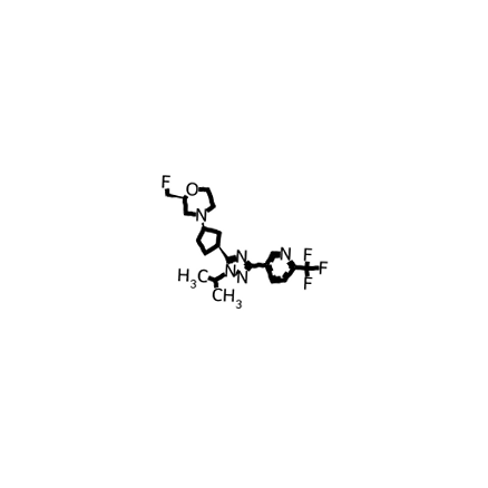 CC(C)n1nc(-c2ccc(C(F)(F)F)nc2)nc1[C@H]1CC[C@H](N2CCO[C@H](CF)C2)C1